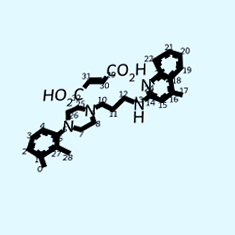 Cc1cccc(N2CCN(CCCNc3cc(C)c4ccccc4n3)CC2)c1C.O=C(O)C=CC(=O)O